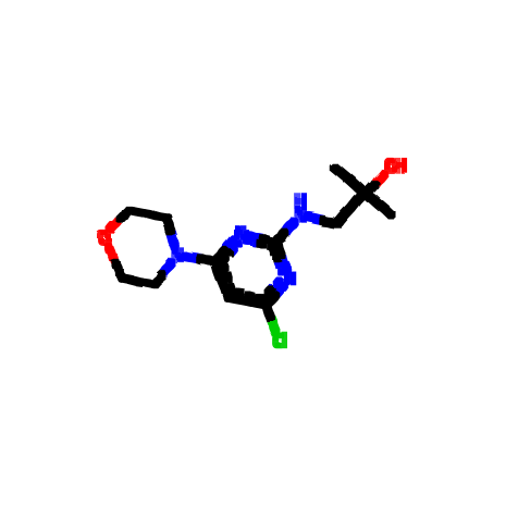 CC(C)(O)CNc1nc(Cl)cc(N2CCOCC2)n1